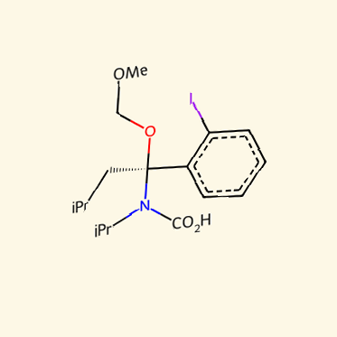 COCO[C@@](CC(C)C)(c1ccccc1I)N(C(=O)O)C(C)C